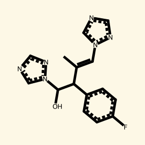 CC(=Cn1cncn1)C(c1ccc(F)cc1)C(O)n1cncn1